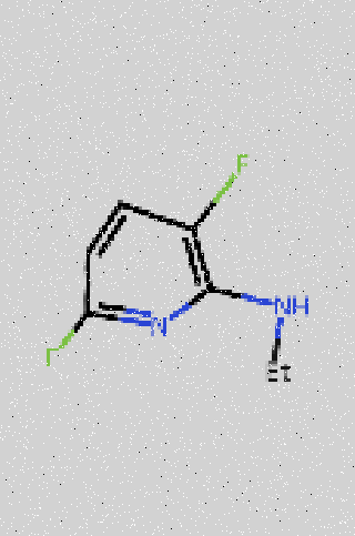 CCNc1nc(F)ccc1F